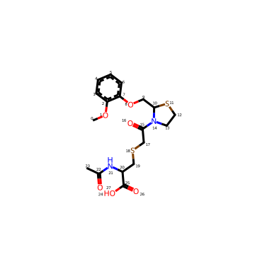 COc1ccccc1OCC1SCCN1C(=O)CSCC(NC(C)=O)C(=O)O